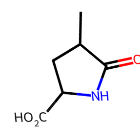 CC1CC(C(=O)O)NC1=O